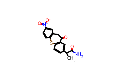 CC(C(N)=O)c1ccc2c(c1)C(=O)Cc1cc([N+](=O)[O-])ccc1S2